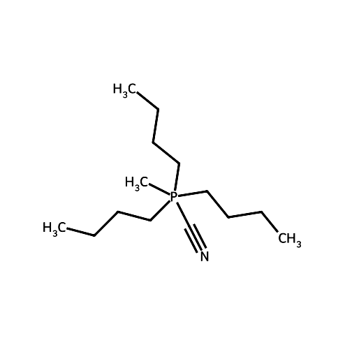 CCCCP(C)(C#N)(CCCC)CCCC